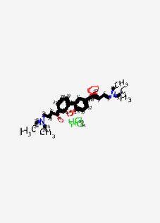 CCN(CC)CCCC(=O)c1ccc2oc3c(C(=O)CCCN(CC)CC)cccc3c2c1.Cl.Cl